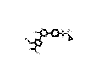 CC(C)Oc1cc(-c2nc(-c3ccc(S(=O)(=O)N(C)C4CC4)cc3)cnc2N)ccc1C(N)=O